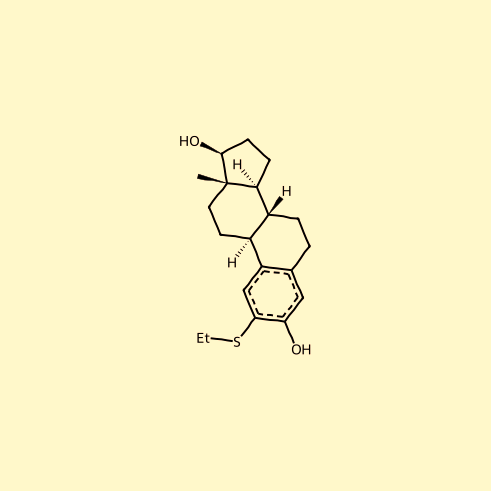 CCSc1cc2c(cc1O)CC[C@@H]1[C@@H]2CC[C@]2(C)[C@@H](O)CC[C@@H]12